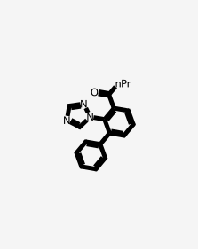 CCCC(=O)c1cccc(-c2ccccc2)c1-n1cncn1